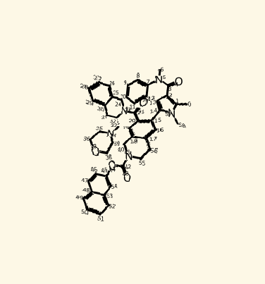 Cc1c(C(=O)N(C)c2ccccc2)cc(-c2cc3c(cc2C(=O)N2Cc4ccccc4C[C@H]2CN2CCOCC2)CN(C(=O)Oc2ccc4ccccc4c2)CC3)n1C